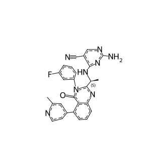 Cc1cc(-c2cccc3nc([C@H](C)Nc4nc(N)ncc4C#N)n(-c4cccc(F)c4)c(=O)c23)ccn1